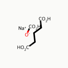 O=C(O)CCCC(=O)O.O=C([O-])O.[Na+]